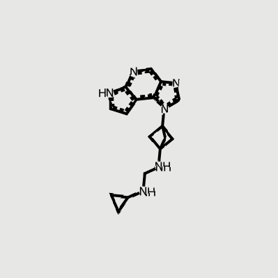 c1cc2c(ncc3ncn(C45CC(NCNC6CC6)(C4)C5)c32)[nH]1